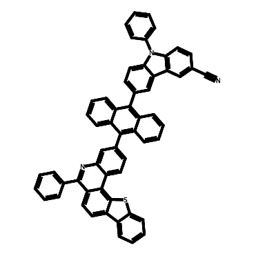 N#Cc1ccc2c(c1)c1cc(-c3c4ccccc4c(-c4ccc5c(c4)nc(-c4ccccc4)c4ccc6c7ccccc7sc6c45)c4ccccc34)ccc1n2-c1ccccc1